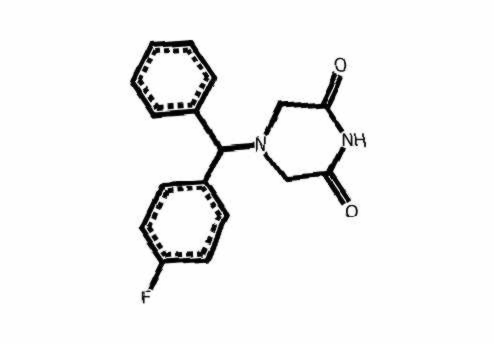 O=C1CN(C(c2ccccc2)c2ccc(F)cc2)CC(=O)N1